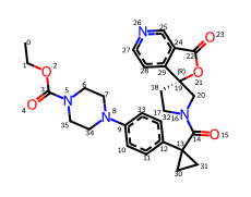 CCOC(=O)N1CCN(c2ccc(C3(C(=O)N4CC[C@@]5(C4)OC(=O)c4cnccc45)CC3)cc2)CC1